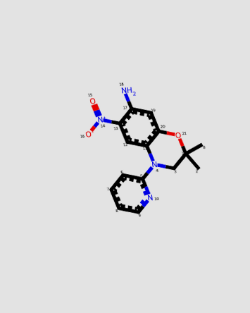 CC1(C)CN(c2ccccn2)c2cc([N+](=O)[O-])c(N)cc2O1